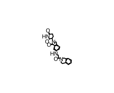 O=C1CCC(N2Cc3ccc(NCC(=O)N4CCc5ccccc5C4)cc3C2=O)C(=O)N1